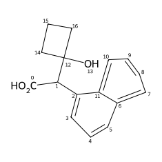 O=C(O)C(c1cccc2ccccc12)C1(O)CCC1